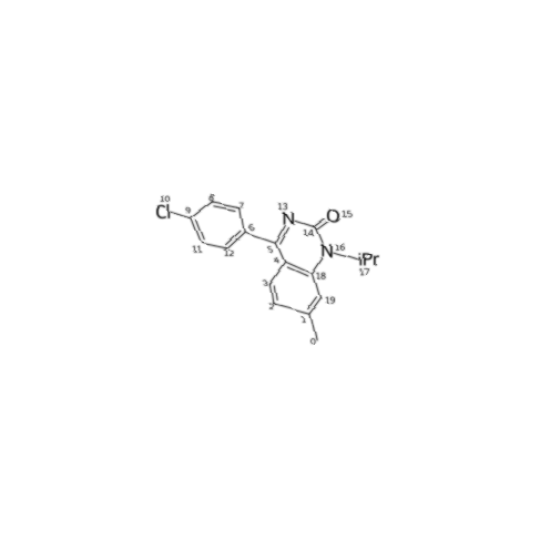 Cc1ccc2c(-c3ccc(Cl)cc3)nc(=O)n(C(C)C)c2c1